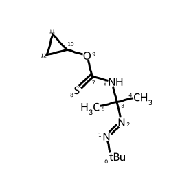 CC(C)(C)N=NC(C)(C)NC(=S)OC1CC1